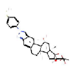 CCCSc1ccc(-n2cc3c(n2)C=C2CC[C@@H]4[C@H]([C@@H](O)C[C@@]5(C)[C@H]4C[C@H]4OC(C)O[C@]45C(=O)CO)[C@@]2(C)C3)cc1